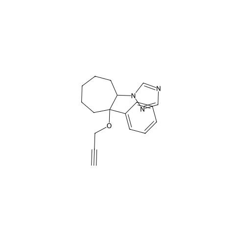 C#CCOC1(c2ccccc2)CCCCCC1n1cncn1